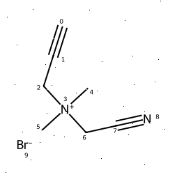 C#CC[N+](C)(C)CC#N.[Br-]